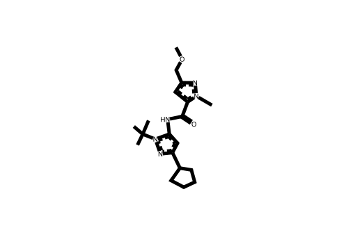 COCc1cc(C(=O)Nc2cc(C3CCCC3)nn2C(C)(C)C)n(C)n1